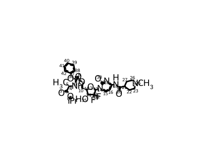 CC(C)OC(=O)[C@H](C)NP(=O)(OC[C@H]1O[C@@H](n2ccc(NC(=O)C3CCN(C)CC3)nc2=O)C(F)(F)[C@@H]1O)Oc1ccccc1